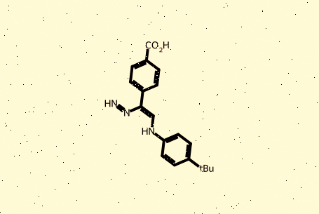 CC(C)(C)c1ccc(N/C=C(\N=N)c2ccc(C(=O)O)cc2)cc1